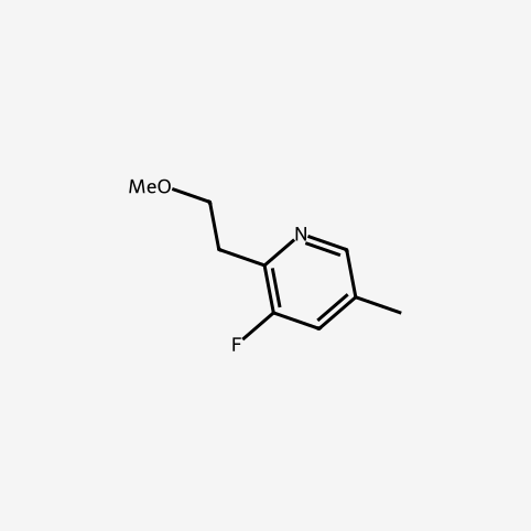 COCCc1ncc(C)cc1F